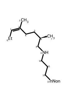 CC/C=C(/C)CC[C@@H](C)CNCCCCCCCCCCCC